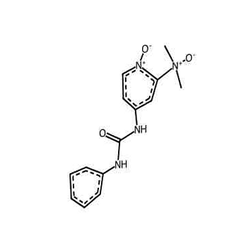 C[N+](C)([O-])c1cc(NC(=O)Nc2ccccc2)cc[n+]1[O-]